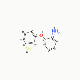 Nc1ccccc1Oc1cccc(S)c1